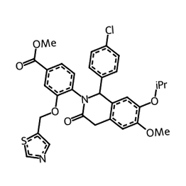 COC(=O)c1ccc(N2C(=O)Cc3cc(OC)c(OC(C)C)cc3C2c2ccc(Cl)cc2)c(OCc2cncs2)c1